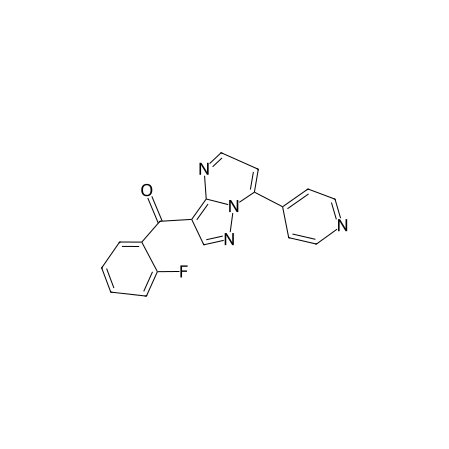 O=C(c1ccccc1F)c1cnn2c(-c3ccncc3)ccnc12